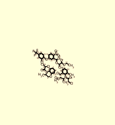 CC1COc2ccccc2N1C(=O)C(Cl)Cl.CCOC(=O)C(C)OC(=O)c1cc(Oc2ccc(C(F)(F)F)cc2Cl)ccc1[N+](=O)[O-].CCc1cccc(C)c1N(C(=O)CCl)C(C)COC